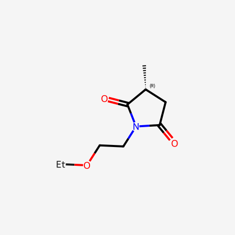 CCOCCN1C(=O)C[C@@H](C)C1=O